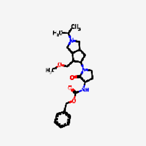 COCC1C2CN(C(C)C)CC2CC1N1CCC(NC(=O)OCc2ccccc2)C1=O